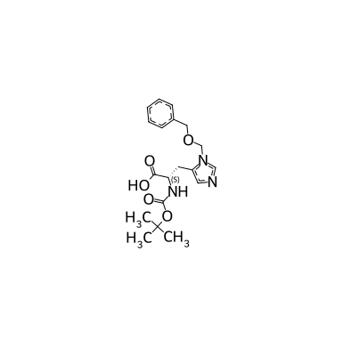 CC(C)(C)OC(=O)N[C@@H](Cc1cncn1COCc1ccccc1)C(=O)O